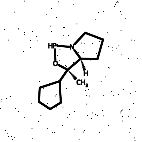 C[C@]1(C2CCCC2)OPN2CCC[C@H]21